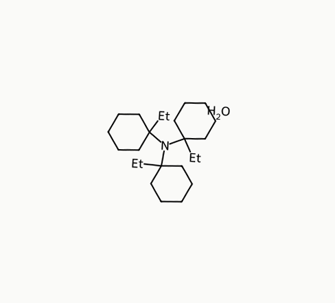 CCC1(N(C2(CC)CCCCC2)C2(CC)CCCCC2)CCCCC1.O